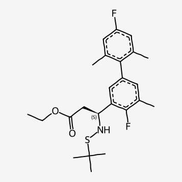 CCOC(=O)C[C@H](NSC(C)(C)C)c1cc(-c2c(C)cc(F)cc2C)cc(C)c1F